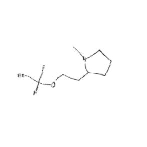 CCC(F)(F)OCCC1CCCN1C